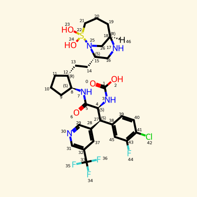 O=C(O)N[C@H](C(=O)N[C@H]1CCC[C@@H]1CC[C@H]1CN[C@@H]2CCCS(O)(O)N1C2)[C@H](c1cncc(C(F)(F)F)c1)c1ccc(Cl)c(F)c1